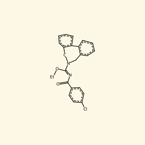 CCO/C(=N\C(=O)c1ccc(Cl)cc1)N1Cc2ccccc2-c2ccccc2C1